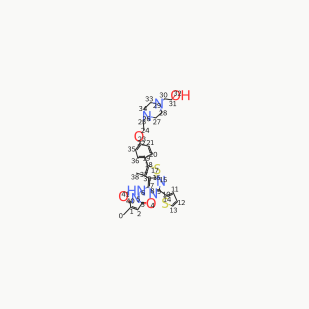 CC1=CC(=O)N(Nc2nc(-c3cccs3)nc3sc(-c4ccc(OCCN5CCN(CCO)CC5)cc4)c(C)c23)C1=O